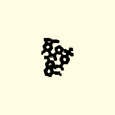 CCS(=O)(=O)c1ccc(N(C)C(=O)O)cc1[C@H]1CCCN1C(=O)[C@H](Nc1ccc2c(N)nccc2c1)c1cc(OC)c(OC)cc1F